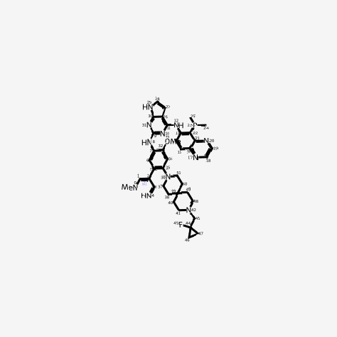 CN/C=C(\C=N)c1cc(Nc2nc(Nc3ccc4nccnc4c3P(C)C)c3cc[nH]c3n2)c(OC)cc1N1CCC2(CCN(CC3(F)CC3)CC2)CC1